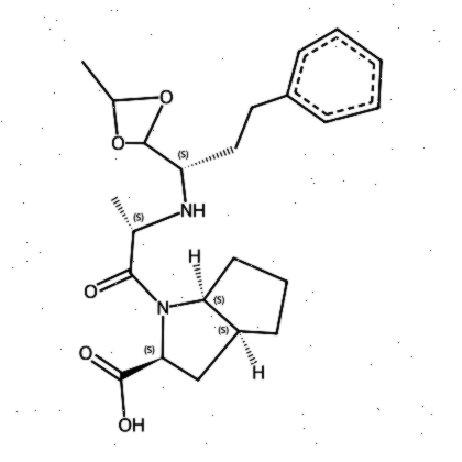 CC1OC([C@H](CCc2ccccc2)N[C@@H](C)C(=O)N2[C@H](C(=O)O)C[C@@H]3CCC[C@@H]32)O1